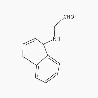 O=[C]CNC1C=CCc2ccccc21